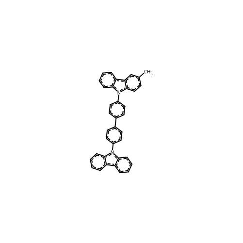 Cc1ccc2c(c1)c1ccccc1n2-c1ccc(-c2ccc(-n3c4ccccc4c4ccccc43)cc2)cc1